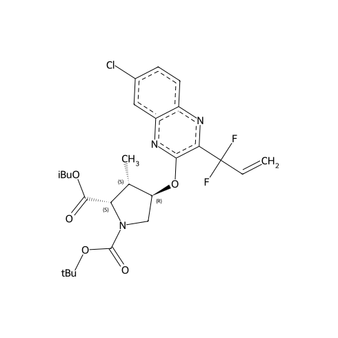 C=CC(F)(F)c1nc2ccc(Cl)cc2nc1O[C@H]1CN(C(=O)OC(C)(C)C)[C@H](C(=O)OCC(C)C)[C@@H]1C